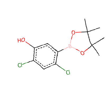 CC1(C)OB(c2cc(O)c(Cl)cc2Cl)OC1(C)C